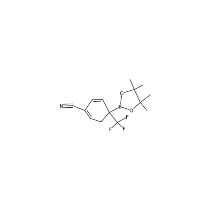 CC1(C)OB(C2(C(F)(F)F)C=CC(C#N)=CC2)OC1(C)C